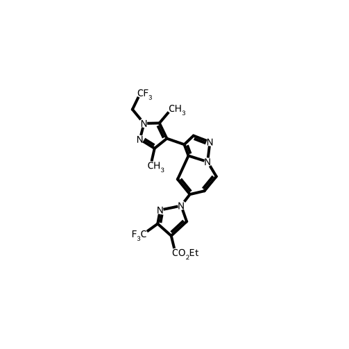 CCOC(=O)c1cn(-c2ccn3ncc(-c4c(C)nn(CC(F)(F)F)c4C)c3c2)nc1C(F)(F)F